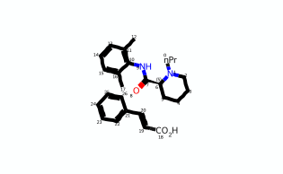 CCCN1CCCC[C@H]1C(=O)Nc1c(C)cccc1C.O=C(O)C=Cc1ccccc1